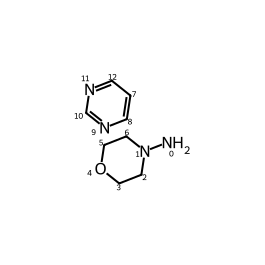 NN1CCOCC1.c1cncnc1